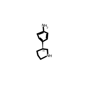 Nc1ccc([C@@H]2CCCNC2)cc1